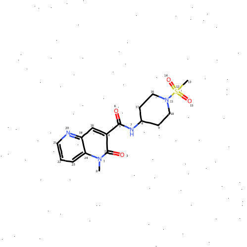 Cn1c(=O)c(C(=O)NC2CCN(S(C)(=O)=O)CC2)cc2ncccc21